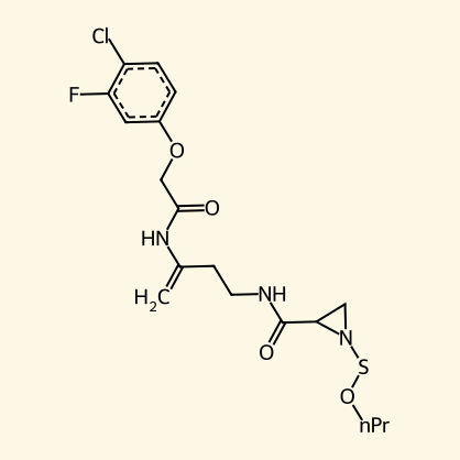 C=C(CCNC(=O)C1CN1SOCCC)NC(=O)COc1ccc(Cl)c(F)c1